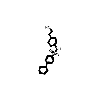 O=S(=O)(NC1CCC(CCO)CC1)c1ccc(-c2ccccc2)cc1